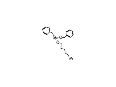 CC(C)CCCCCOP(OCc1ccccc1)OCc1ccccc1